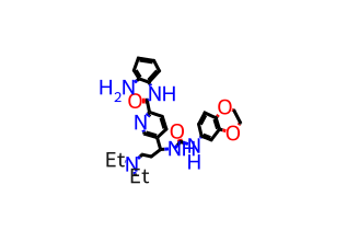 CCN(CC)CCC(NC(=O)Nc1ccc2c(c1)OCCO2)c1ccc(C(=O)Nc2ccccc2N)nc1